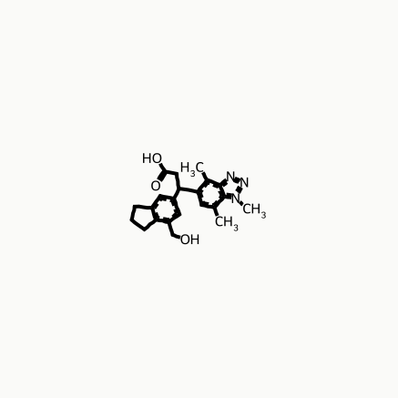 Cc1c(C(CC(=O)O)c2cc(CO)c3c(c2)CCC3)cc(C)c2c1nnn2C